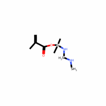 C=C(C)C(=O)O[Si](C)(C)N[SiH2]N[SiH3]